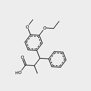 CCOc1cc(C(c2ccccc2)C(C)C(=O)O)ccc1OC